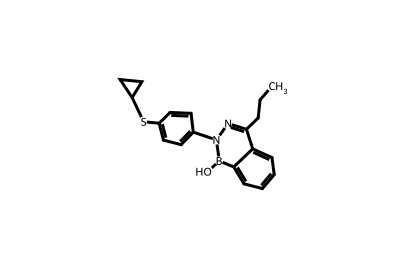 CCCC1=NN(c2ccc(SC3CC3)cc2)B(O)c2ccccc21